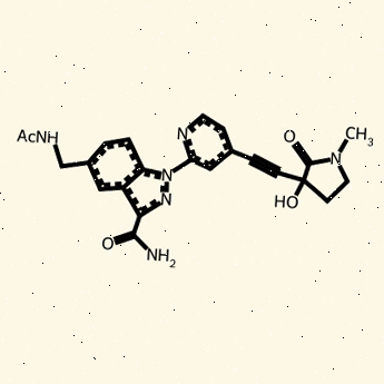 CC(=O)NCc1ccc2c(c1)c(C(N)=O)nn2-c1cc(C#CC2(O)CCN(C)C2=O)ccn1